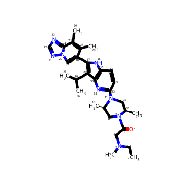 CCN(C)CC(=O)N1C[C@H](C)N(c2ccc3[nH]c(-c4cn5ncnc5c(C)c4C)c(C(C)C)c3n2)C[C@H]1C